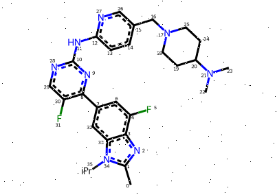 Cc1nc2c(F)cc(-c3nc(Nc4ccc(CN5CCC(N(C)C)CC5)cn4)ncc3F)cc2n1C(C)C